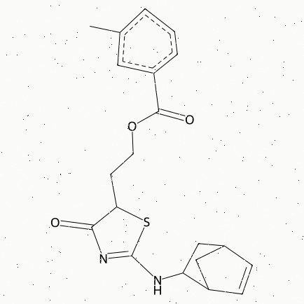 Cc1cccc(C(=O)OCCC2SC(NC3CC4C=CC3C4)=NC2=O)c1